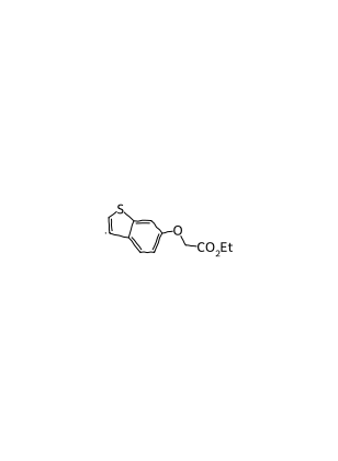 CCOC(=O)COc1ccc2[c]csc2c1